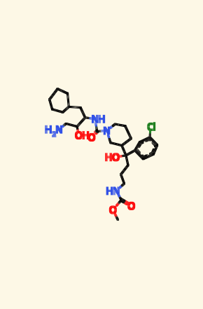 COC(=O)NCCCC(O)(c1cccc(Cl)c1)C1CCCN(C(=O)NC(CC2CCCCC2)C(O)CN)C1